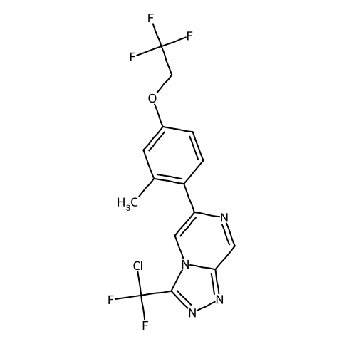 Cc1cc(OCC(F)(F)F)ccc1-c1cn2c(C(F)(F)Cl)nnc2cn1